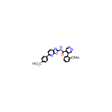 COc1ccccc1-c1cnncc1C(=O)Nc1nc2ccc(-c3ccc(C(=O)O)cc3)nc2s1